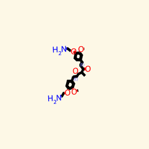 COc1cc(/C=C/C(=O)C(C)C(=O)/C=C/c2ccc(OCCN)c(OC)c2)ccc1OCCN